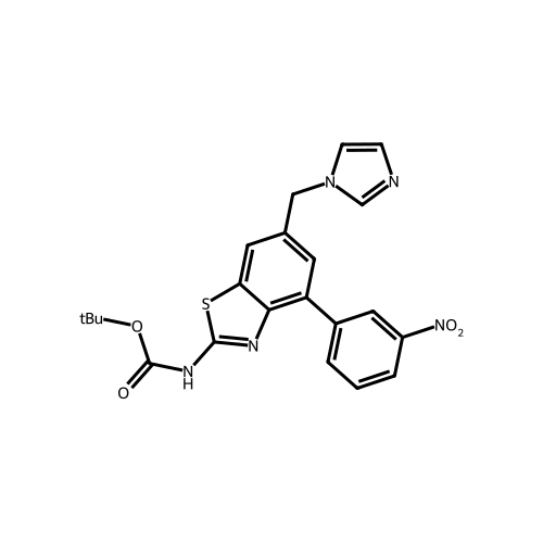 CC(C)(C)OC(=O)Nc1nc2c(-c3cccc([N+](=O)[O-])c3)cc(Cn3ccnc3)cc2s1